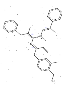 C=C/C(Cc1ccc(CS)c(C)c1)=N\C(=C(\C)Cc1ccccc1)N(C)/C=C(\C)c1ccccc1